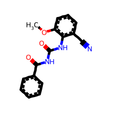 COc1cccc(C#N)c1NC(=O)NC(=O)c1ccccc1